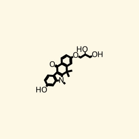 Cn1c2c(c3ccc(O)cc31)C(=O)c1ccc(OC[C@@H](O)CO)cc1C2(C)C